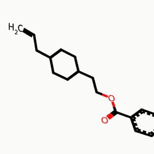 C=CCC1CCC(CCOC(=O)c2ccccc2)CC1